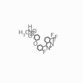 CNS(=O)(=O)c1cccc(Oc2ccc(F)c(-c3ncnc4c(C(F)(F)F)cccc34)c2)c1